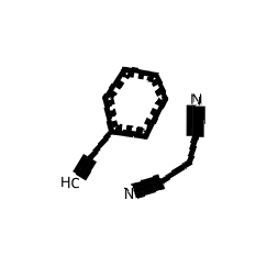 C#Cc1ccccc1.N#CCC#N